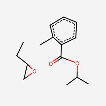 CCC1CO1.Cc1ccccc1C(=O)OC(C)C